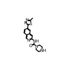 Cc1nnc(-c2ccc3cnc(NC(=O)N4CCNCC4)cc3c2)s1